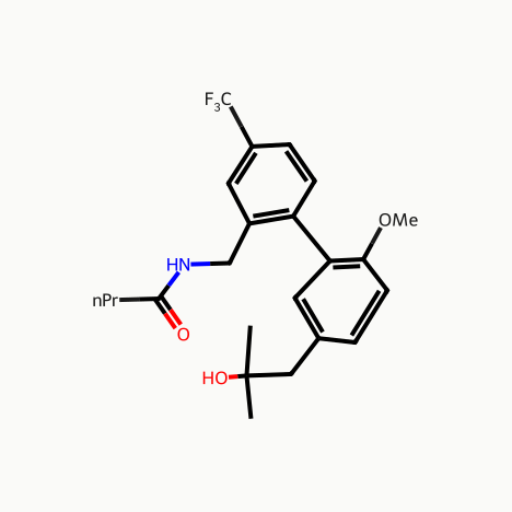 CCCC(=O)NCc1cc(C(F)(F)F)ccc1-c1cc(CC(C)(C)O)ccc1OC